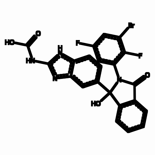 O=C(O)Nc1nc2cc(C3(O)c4ccccc4C(=O)N3c3cc(F)cc(Br)c3F)ccc2[nH]1